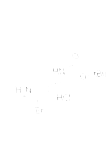 CCC(N)CCCNC(=O)OC(C)(C)C.Cl